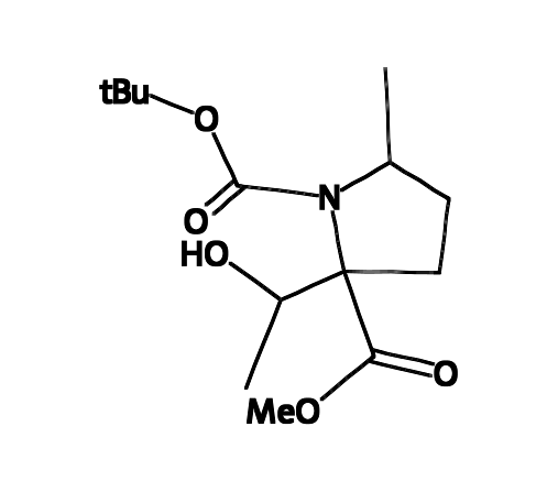 COC(=O)C1(C(C)O)CCC(C)N1C(=O)OC(C)(C)C